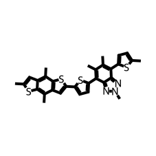 Cc1ccc(-c2c(C)c(C)c(-c3ccc(-c4cc5c(C)c6sc(C)cc6c(C)c5s4)s3)c3nn(C)nc23)s1